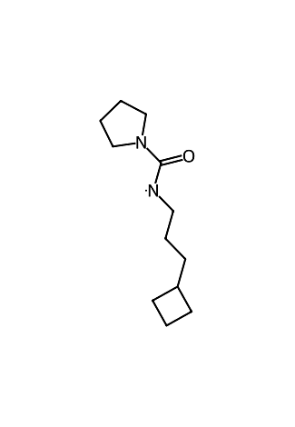 O=C([N]CCCC1CCC1)N1CCCC1